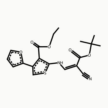 CCOC(=O)c1c(-c2ccco2)csc1NC=C(C#N)C(=O)OC(C)(C)C